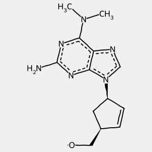 CN(C)c1nc(N)nc2c1ncn2[C@H]1C=C[C@@H](C[O])C1